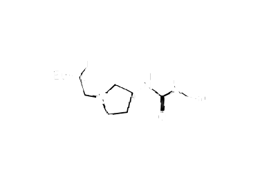 CC[C@H](F)CN1CC[C@@H](NC(=O)NC(C)(C)C)C1